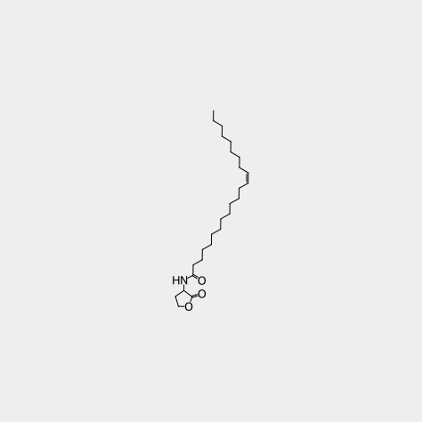 CCCCCCCC/C=C\CCCCCCCCCCCC(=O)NC1CCOC1=O